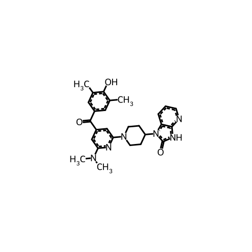 Cc1cc(C(=O)c2cc(N(C)C)nc(N3CCC(n4c(=O)[nH]c5ncccc54)CC3)c2)cc(C)c1O